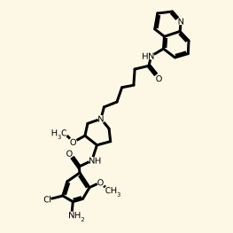 COc1cc(N)c(Cl)cc1C(=O)NC1CCN(CCCCCC(=O)Nc2cccc3ncccc23)CC1OC